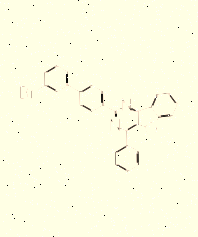 Brc1cccc(-c2ccc(-c3nc(-c4ccccc4)c4oc5ccccc5c4n3)cc2)c1